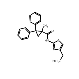 CCOC(=O)Cc1csc(NC(=O)C2(C)CC2(c2ccccc2)c2ccccc2)n1